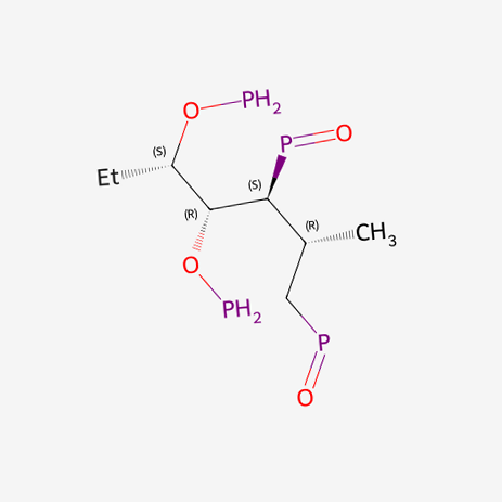 CC[C@H](OP)[C@@H](OP)[C@@H](P=O)[C@H](C)CP=O